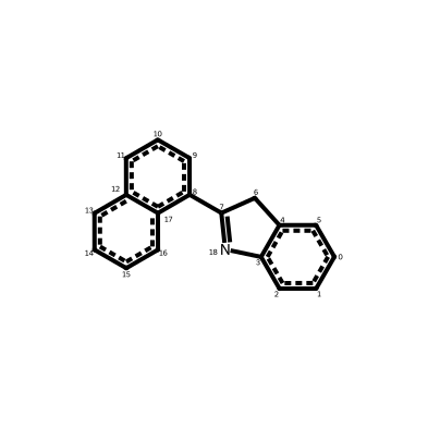 c1ccc2c(c1)CC(c1cccc3ccccc13)=N2